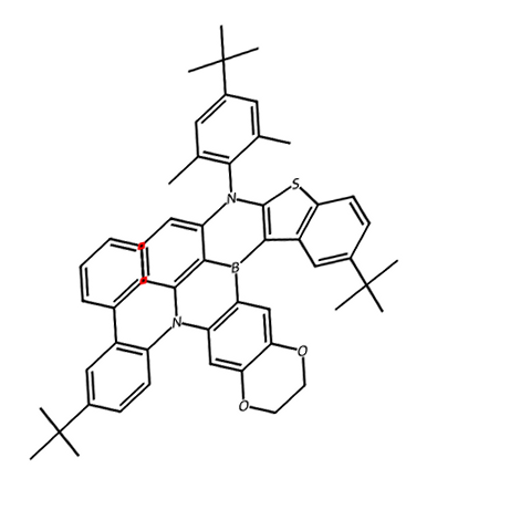 Cc1cc(C(C)(C)C)cc(C)c1N1c2cccc3c2B(c2cc4c(cc2N3c2ccc(C(C)(C)C)cc2-c2ccccc2)OCCO4)c2c1sc1ccc(C(C)(C)C)cc21